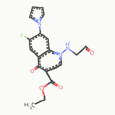 CCOC(=O)c1cn(NCC=O)c2cc(-n3cccc3)c(F)cc2c1=O